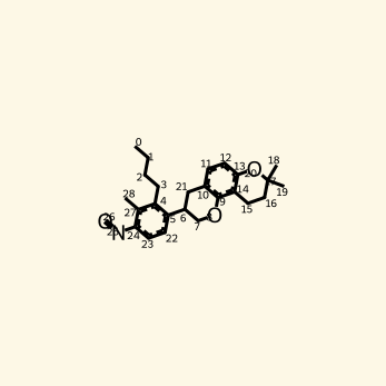 CCCCc1c(C2COc3c(ccc4c3CCC(C)(C)O4)C2)ccc(N=O)c1C